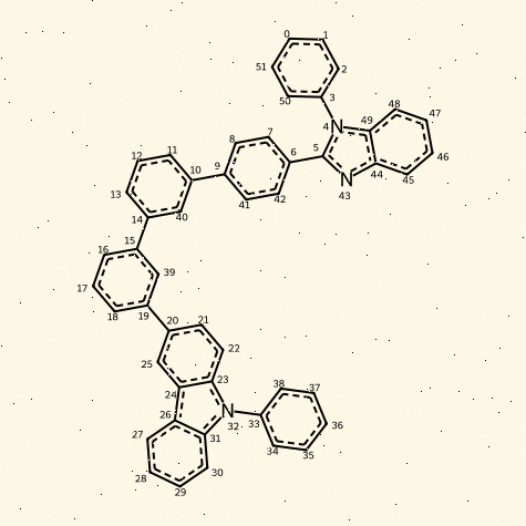 c1ccc(-n2c(-c3ccc(-c4cccc(-c5cccc(-c6ccc7c(c6)c6ccccc6n7-c6ccccc6)c5)c4)cc3)nc3ccccc32)cc1